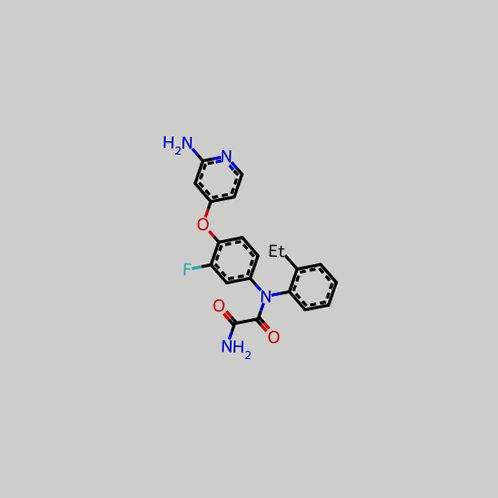 CCc1ccccc1N(C(=O)C(N)=O)c1ccc(Oc2ccnc(N)c2)c(F)c1